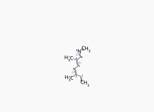 C=C\C(C)=C/C=C(C)/C=N/C